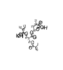 C=C(C)C(=O)OCC(COC(=O)C(=C)C)C(=O)OCCC(C)S(=O)(=O)O.[KH]